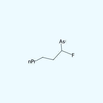 CCCCCC(F)[As]